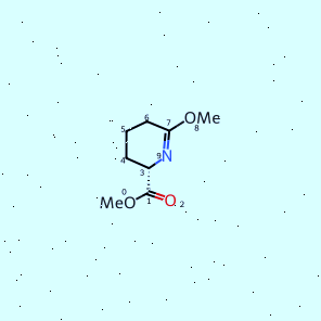 COC(=O)[C@@H]1CCCC(OC)=N1